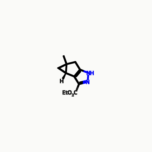 CCOC(=O)c1n[nH]c2c1[C@@H]1CC1(C)C2